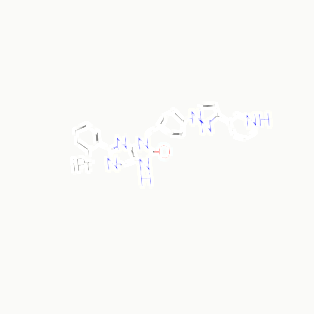 CC(C)c1ccccc1-c1ncc2[nH]c(=O)n(Cc3ccc(-n4ccc([C@@H]5CCCNC5)n4)cc3)c2n1